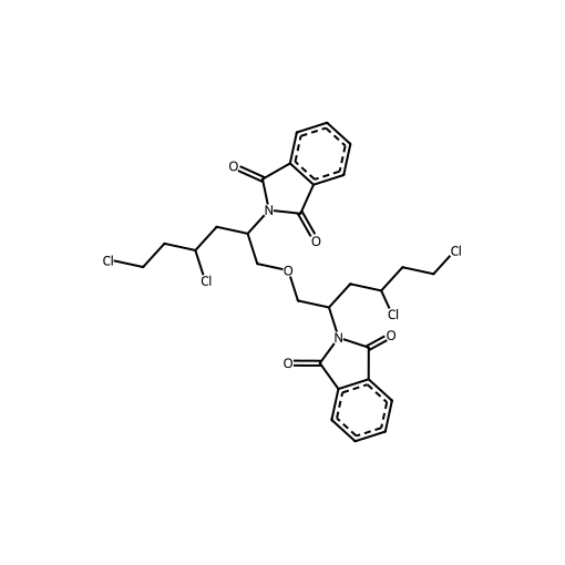 O=C1c2ccccc2C(=O)N1C(COCC(CC(Cl)CCCl)N1C(=O)c2ccccc2C1=O)CC(Cl)CCCl